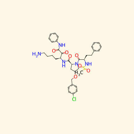 CS(=O)(=O)N[C@H](CCc1ccccc1)C(=O)N1C[C@H](OCc2ccc(Cl)cc2)C[C@H]1C(=O)N[C@@H](CCCCN)C(=O)C(=O)Nc1ccccc1